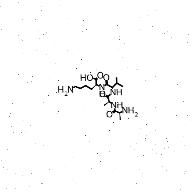 CC(C)[C@H](NC(=O)[C@H](C)NC(=O)[C@H](C)N)C(=O)N[C@@H](CCCCN)C(=O)O